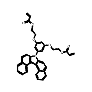 C=CC(=O)OCCOc1cc(OCCOC(=O)C=C)cc(-n2c3ccc4ccccc4c3c3c4ccccc4ccc32)c1